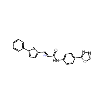 O=C(/C=C/c1ccc(-c2ccccc2)s1)Nc1ccc(-c2nnco2)cc1